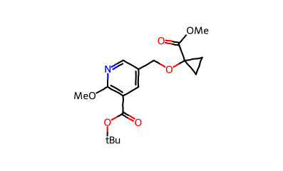 COC(=O)C1(OCc2cnc(OC)c(C(=O)OC(C)(C)C)c2)CC1